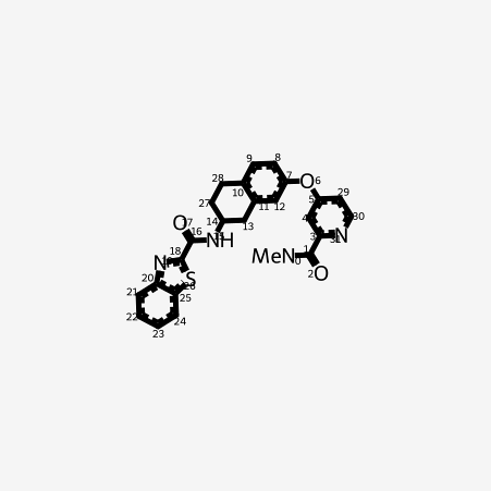 CNC(=O)c1cc(Oc2ccc3c(c2)CC(NC(=O)c2nc4ccccc4s2)CC3)ccn1